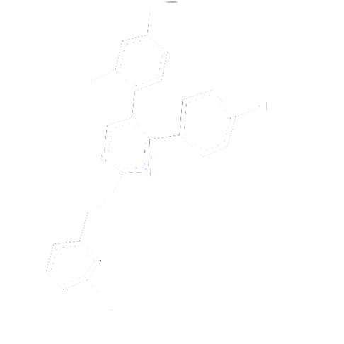 CSc1ccc(-c2cnc(OCc3cccc(F)c3)nc2-c2ccc(Cl)cc2)c(Cl)c1